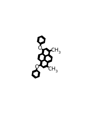 Cc1cc(Oc2ccccc2)c2ccc3c(Oc4ccccc4)cc(C)c4ccc1c2c43